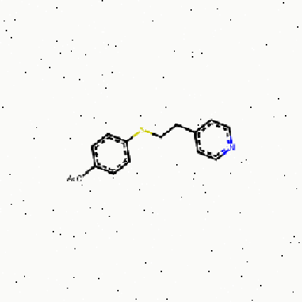 CC(=O)Oc1ccc(SCCc2ccncc2)cc1